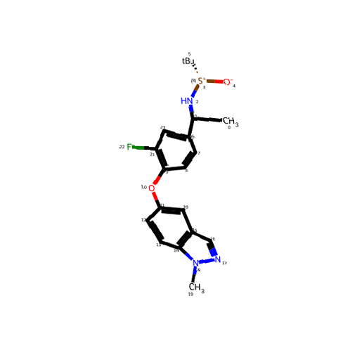 CC(N[S@@+]([O-])C(C)(C)C)c1ccc(Oc2ccc3c(cnn3C)c2)c(F)c1